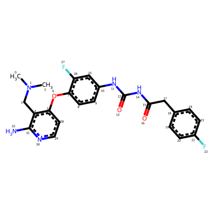 CN(C)Cc1c(Oc2ccc(NC(=O)NC(=O)Cc3ccc(F)cc3)cc2F)ccnc1N